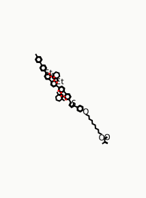 C=C(C)C(=O)OCCCCCCCCCCOc1ccc(-c2ccc(-c3ccc4c(c3)C3(c5cc(-c6ccc7c(c6)C6(c8cc(-c9ccc(-c%10ccc(C)cc%10)cc9)ccc8-7)C7(CC)CCCC6(CC)CCC7)ccc5-4)C4(C)CCCC3(C)CCC4)s2)cc1